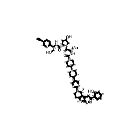 C#Cc1ccc([C@H](CO)NC(=O)[C@@H]2C[C@@H](O)CN2C(=O)[C@@H](NC(=O)N2CCC(N3CCC(c4cnc(N5CCc6[nH]c7nnc(-c8ccccc8O)cc7c6[C@H]5C)nc4)CC3)CC2)C(C)(C)C)nc1